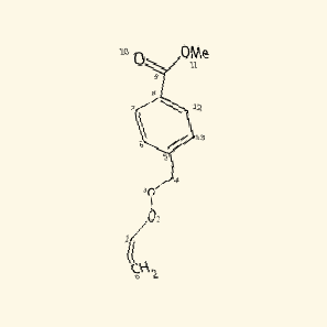 C=COOCc1ccc(C(=O)OC)cc1